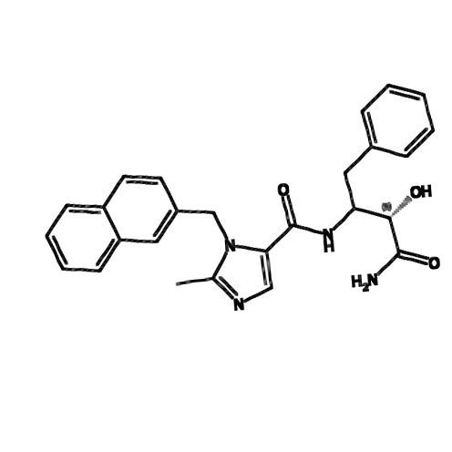 Cc1ncc(C(=O)NC(Cc2ccccc2)[C@H](O)C(N)=O)n1Cc1ccc2ccccc2c1